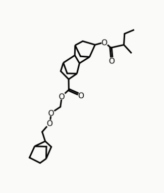 CCC(C)C(=O)OC1CC2CC1C1C3CC(CC3C(=O)OCOOCC3CC4CCC3C4)C21